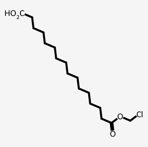 O=C(O)CCCCCCCCCCCCCCC(=O)OCCl